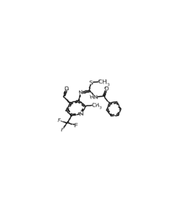 CS/C(=N/c1c(C=O)cc(C(F)(F)F)nc1C)NC(=O)c1ccccc1